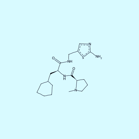 CN1CCC[C@@H]1C(=O)N[C@@H](CC1CCCCC1)C(=O)NCc1cnc(N)s1